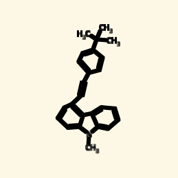 Cn1c2ccccc2c2c(C#Cc3ccc(C(C)(C)C)cc3)cccc21